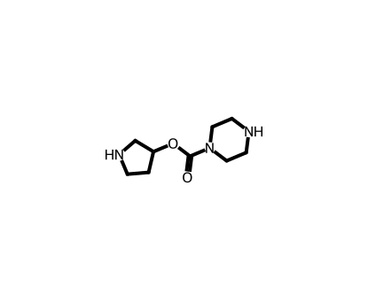 O=C(OC1CCNC1)N1CCNCC1